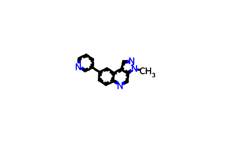 Cn1ncc2c3cc(-c4cccnc4)ccc3ncc21